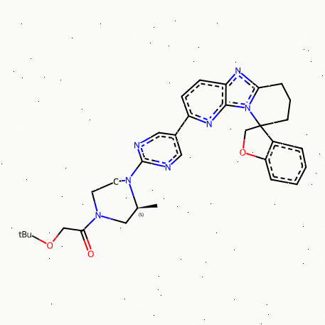 C[C@H]1CN(C(=O)COC(C)(C)C)CCN1c1ncc(-c2ccc3nc4n(c3n2)C2(CCC4)COc3ccccc32)cn1